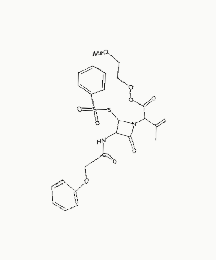 C=C(C)C(C(=O)OOCCOC)N1C(=O)C(NC(=O)COc2ccccc2)C1SS(=O)(=O)c1ccccc1